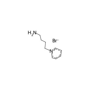 NCCCC[n+]1ccccc1.[Br-]